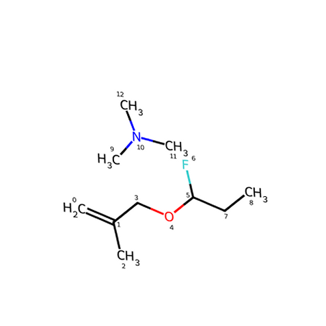 C=C(C)COC(F)CC.CN(C)C